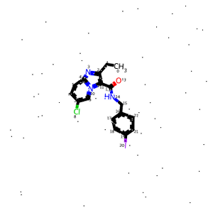 CCc1nc2ccc(Cl)cn2c1C(=O)NCc1ccc(I)cc1